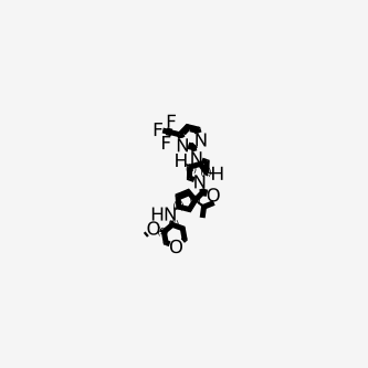 CO[C@@H]1COCC[C@@H]1N[C@@H]1C=C[C@@](C(=O)N2C[C@@H]3C[C@H]2CN3c2nccc(C(F)(F)F)n2)(C(C)C)C1